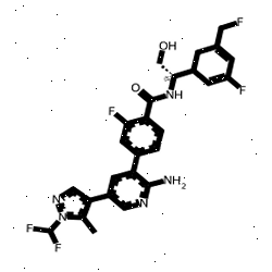 Cc1c(-c2cnc(N)c(-c3ccc(C(=O)N[C@H](CO)C4C=C(F)C=C(CF)C4)c(F)c3)c2)cnn1C(F)F